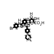 CN1CCCN(c2ccc(C(=O)Nc3c(O[C@@H]4O[C@H](C(=O)O)[C@@H](O)[C@H](O)[C@H]4O)cccc3C(=O)Nc3ccc(Br)cc3)cc2)CC1